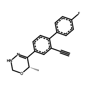 C#Cc1cc(C2=NNCO[C@H]2C)ccc1-c1ccc(F)cc1